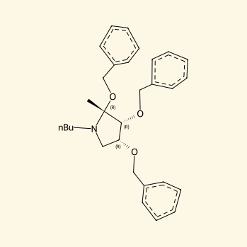 CCCCN1C[C@@H](OCc2ccccc2)[C@@H](OCc2ccccc2)[C@@]1(C)OCc1ccccc1